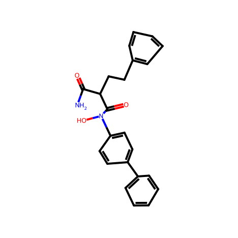 NC(=O)C(CCc1ccccc1)C(=O)N(O)c1ccc(-c2ccccc2)cc1